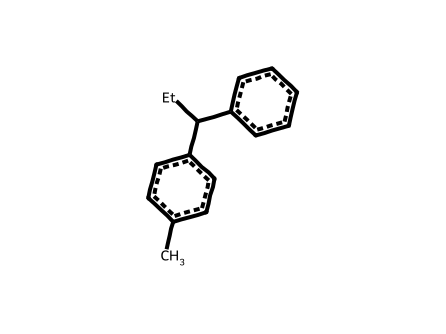 CCC(c1ccccc1)c1ccc(C)cc1